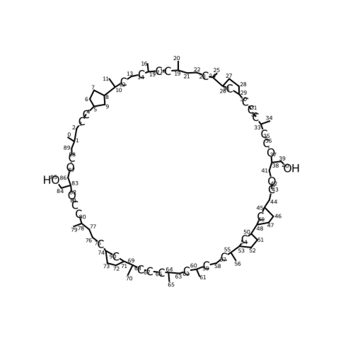 CC1CCCC2CCC(C2)C(C)CCCC(C)CCC(C)CCCC(C)C2CCC(CCCC(C)CCOC(CO)COCCC3CCC(C3)C3CCC(C3)C(C)CCCC(C)CCC(C)CCCC(C)C3CCC(CCCC(C)CCOC(CO)COCC1)C3)C2